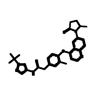 Cc1cc(CC(=O)Nc2cnn(C(C)(C)C)c2)ccc1Oc1ccnc2ccc(N3C(=O)CCC3C)cc12